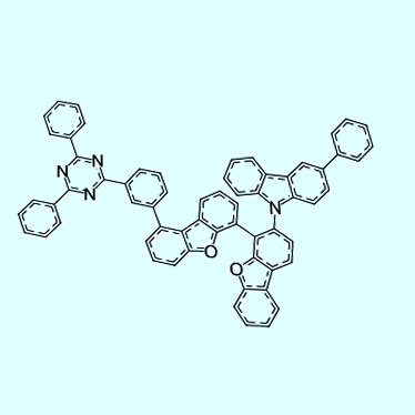 c1ccc(-c2ccc3c(c2)c2ccccc2n3-c2ccc3c(oc4ccccc43)c2-c2cccc3c2oc2cccc(-c4cccc(-c5nc(-c6ccccc6)nc(-c6ccccc6)n5)c4)c23)cc1